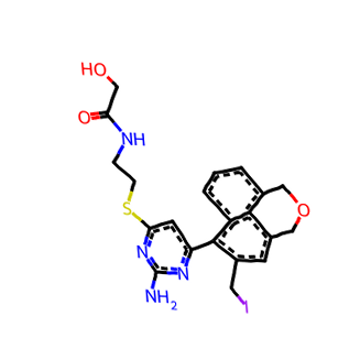 Nc1nc(SCCNC(=O)CO)cc(-c2c(CI)cc3c4c(cccc24)COC3)n1